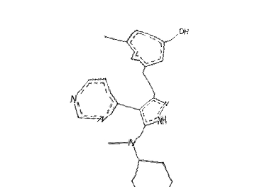 Cc1cc(O)cc(-c2n[nH]c(N(C)C3CCNCC3)c2-c2ccncn2)c1